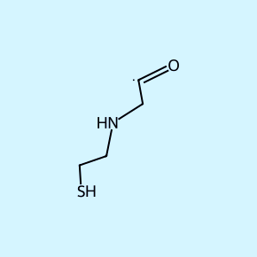 O=[C]CNCCS